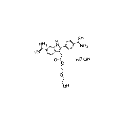 Cl.Cl.N=C(N)c1ccc(-c2[nH]c3cc(C(=N)N)ccc3c2CC(=O)OCCOCCO)cc1